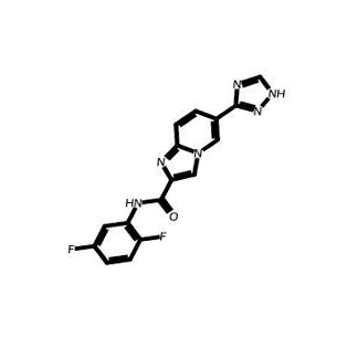 O=C(Nc1cc(F)ccc1F)c1cn2cc(-c3nc[nH]n3)ccc2n1